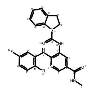 CNC(=O)c1cnc(Nc2cc(F)ccc2Cl)c(NC(=O)N2CCc3ccccc32)c1